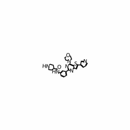 O=C(Nc1cccc(-c2nc(N3CCOCC3)c3sc(-c4cccnc4)cc3n2)c1)C1CCNCC1